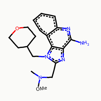 CON(C)Cc1nc2c(N)nc3ccccc3c2n1CC1CCOCC1